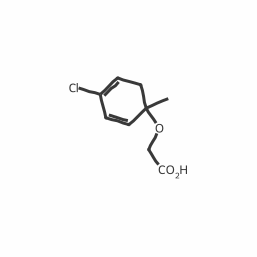 CC1(OCC(=O)O)C=CC(Cl)=CC1